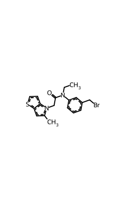 CCN(C(=O)Cn1c(C)cc2sccc21)c1cccc(CBr)c1